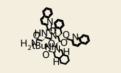 CC(C)(C)NC(=O)[C@@H]1C[C@@H]2CCCC[C@@H]2CN1C[C@@H](OC(=O)c1ccc2ccccc2n1)[C@H](Cc1ccccc1)NC(=O)[C@H](CC(N)=O)NC(=O)c1ccc2ccccc2n1